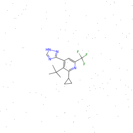 CC(C)(C)c1c(-c2nc[nH]n2)cc(C(F)(F)F)nc1C1CC1